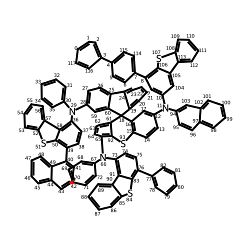 c1ccc(-c2ccc(-c3cc(N(c4ccc5c(c4)C4(c6ccccc6-c6ccc(N(c7ccccc7)c7ccc(-c8cccc9ccccc89)c8sc9ccccc9c78)cc64)c4cccc(N(c6ccccc6)c6ccc(-c7ccccc7)c7sc8ccccc8c67)c4S5)c4ccc5ccccc5c4)cc4c3sc3ccccc34)cc2)cc1